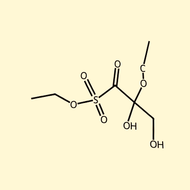 CCOC(O)(CO)C(=O)S(=O)(=O)OCC